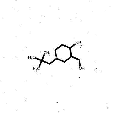 CC(C)(C)CC1CCC(N)C(CO)C1